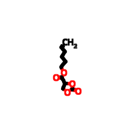 C=CCCCCOC(=O)C1COC(=O)O1